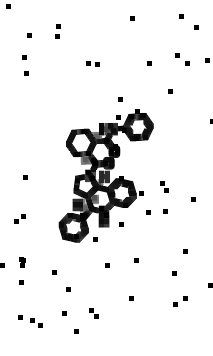 O=C(Nc1ccccc1)[C@@H]1CCCC[C@@H]1C(=O)N1CC[C@@H]2[C@H](c3ccccc3)Nc3ccccc3[C@@H]21